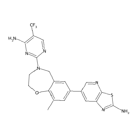 Cc1cc(-c2cnc3sc(N)nc3c2)cc2c1OCCN(c1ncc(C(F)(F)F)c(N)n1)C2